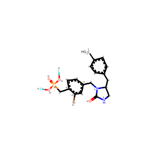 O=C(O)c1ccc(CC2CNC(=O)N2Cc2ccc(CP(=O)(OF)OF)c(Br)c2)cc1